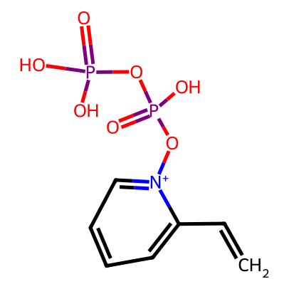 C=Cc1cccc[n+]1OP(=O)(O)OP(=O)(O)O